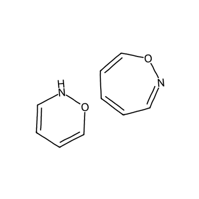 C1=CC=NOC=C1.C1=CNOC=C1